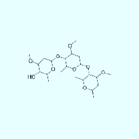 COC1CC(OC2C(C)OC(OC3C(C)OC(C)CC3OC)CC2OC)OC(C)C1O